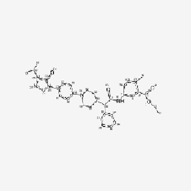 CCOC(=O)c1cc(NC(=O)C(c2ccccc2)C2CCN(c3ccc(-n4cnn(C(C)C)c4=O)cc3)CC2)ccc1C